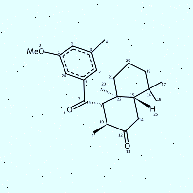 COc1cc(C)cc(C(=O)[C@H]2[C@H](C)C(=O)C[C@H]3C(C)(C)CCC[C@]23C)c1